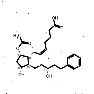 CC(=O)O[C@H]1C[C@@H](O)[C@H](CC[C@@H](O)CCc2ccccc2)[C@H]1C/C=C\CCCC(=O)O